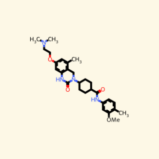 COc1cc(NC(=O)C2CCC(N3Cc4c(C)cc(OCCN(C)C)cc4NC3=O)CC2)ccc1C